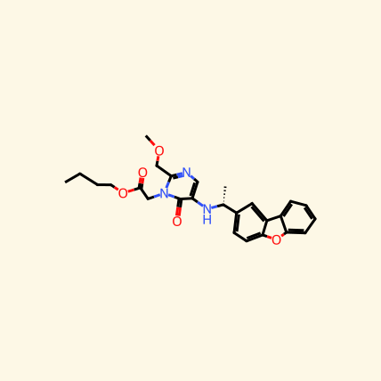 CCCCOC(=O)Cn1c(COC)ncc(N[C@H](C)c2ccc3oc4ccccc4c3c2)c1=O